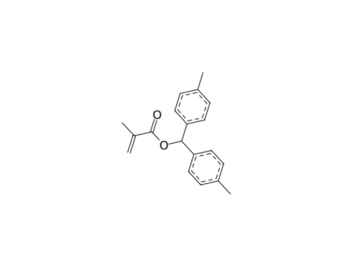 C=C(C)C(=O)OC(c1ccc(C)cc1)c1ccc(C)cc1